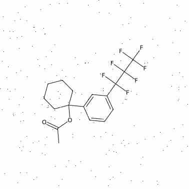 CC(=O)OC1(c2cccc(C(F)(F)C(F)(F)C(F)(F)F)c2)CCCCC1